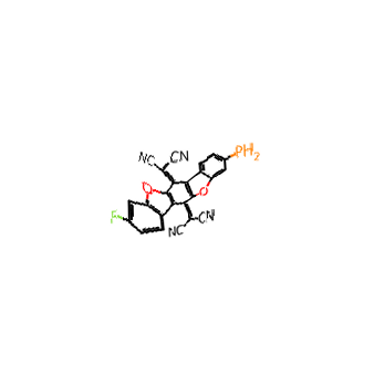 N#CC(C#N)=c1c2oc3cc(P)ccc3c2c(=C(C#N)C#N)c2oc3cc(F)ccc3c12